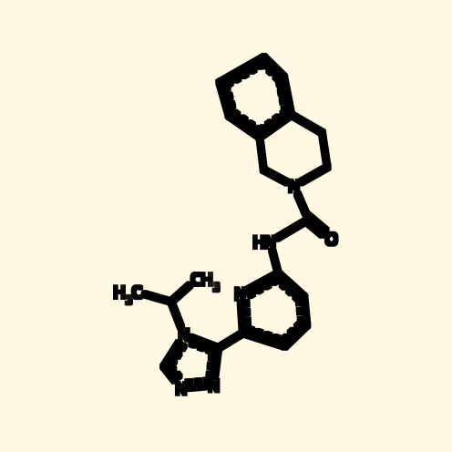 CC(C)n1cnnc1-c1cccc(NC(=O)N2CCc3ccccc3C2)n1